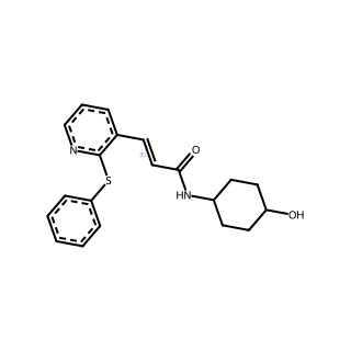 O=C(/C=C/c1cccnc1Sc1ccccc1)NC1CCC(O)CC1